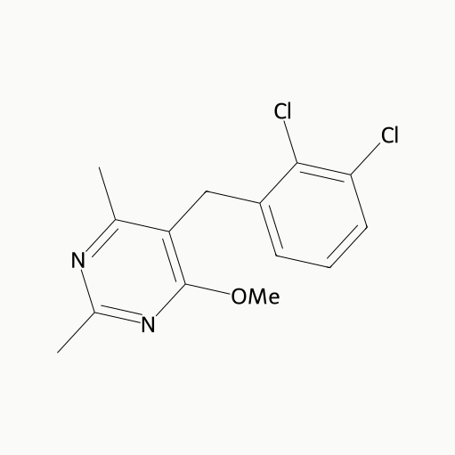 COc1nc(C)nc(C)c1Cc1cccc(Cl)c1Cl